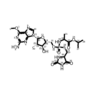 COc1nc(N)nc2c1ncn2[C@@H]1O[C@H](COP(=O)(NC(C)C(=O)OC(C)C)SCC2NC(=O)NC2=O)[C@@H](O)[C@@H]1C